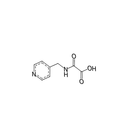 O=C(O)C(=O)NCc1ccncc1